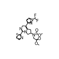 COC(=O)CN(C1CC2=C(c3ccn(C(F)F)n3)CN=C(c3nccs3)N2C1)S(=O)OC